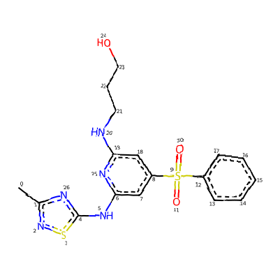 Cc1nsc(Nc2cc(S(=O)(=O)c3ccccc3)cc(NCCCO)n2)n1